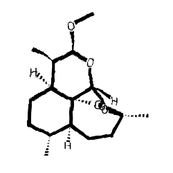 CO[C@H]1O[C@@H]2O[C@]3(C)CC[C@H]4[C@H](C)CC[C@@H]([C@H]1C)[C@@]24OO3